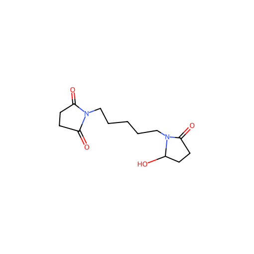 O=C1CCC(=O)N1CCCCCN1C(=O)CCC1O